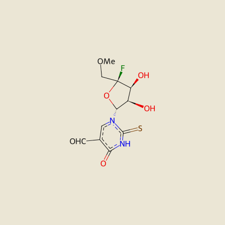 COC[C@@]1(F)O[C@@H](n2cc(C=O)c(=O)[nH]c2=S)[C@H](O)[C@@H]1O